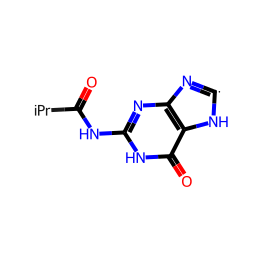 CC(C)C(=O)Nc1nc2n[c][nH]c2c(=O)[nH]1